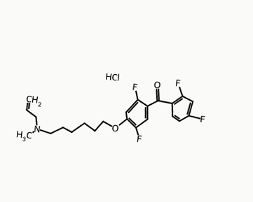 C=CCN(C)CCCCCCOc1cc(F)c(C(=O)c2ccc(F)cc2F)cc1F.Cl